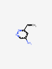 C=Cc1cc(N)cnn1